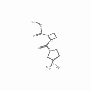 CC(C)[C@@]1(C)CCN(C(=O)[C@@H]2CCN2C(=O)OC(C)(C)C)C1